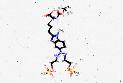 Cn1c(CCC[C@H](NC(=O)OC(C)(C)C)C(=O)O)nc2cc(N(NCCOS(C)(=O)=O)NCCOS(C)(=O)=O)ccc21